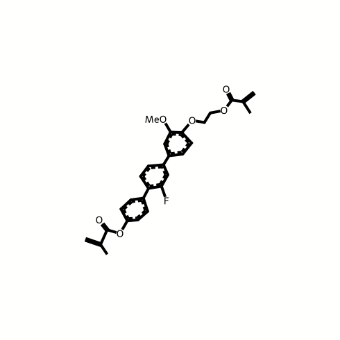 C=C(C)C(=O)OCCOc1ccc(-c2ccc(-c3ccc(OC(=O)C(=C)C)cc3)c(F)c2)cc1OC